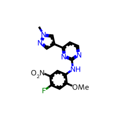 COc1cc(F)c([N+](=O)[O-])cc1Nc1nccc(-c2cnn(C)c2)n1